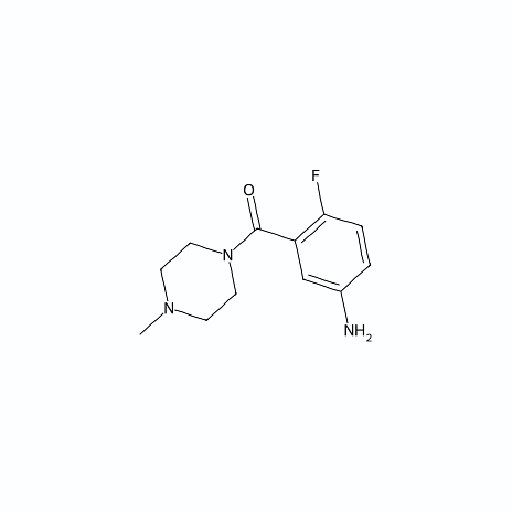 CN1CCN(C(=O)c2cc(N)ccc2F)CC1